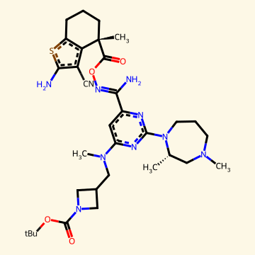 C[C@H]1CN(C)CCCN1c1nc(/C(N)=N/OC(=O)[C@@]2(C)CCCc3sc(N)c(C#N)c32)cc(N(C)CC2CN(C(=O)OC(C)(C)C)C2)n1